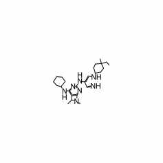 CCC1(C)CCC(N/C=C(\C=N)Nc2nc(NC3CCCCC3)c3c(n2)N(C)C3C)CC1